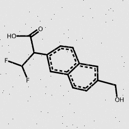 O=C(O)C(c1ccc2cc(CO)ccc2c1)C(F)F